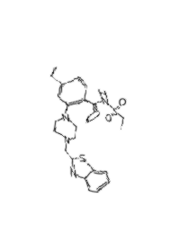 CCc1ccc(C(=O)NS(=O)(=O)CC)c(N2CCN(Cc3nc4ccccc4s3)CC2)c1